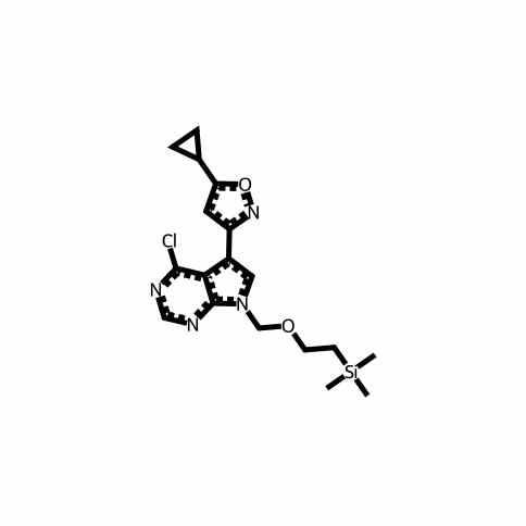 C[Si](C)(C)CCOCn1cc(-c2cc(C3CC3)on2)c2c(Cl)ncnc21